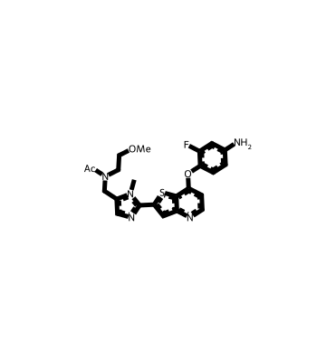 COCCN(Cc1cnc(-c2cc3nccc(Oc4ccc(N)cc4F)c3s2)n1C)C(C)=O